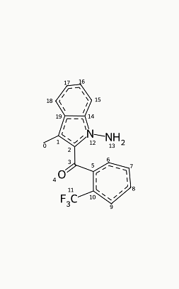 Cc1c(C(=O)c2ccccc2C(F)(F)F)n(N)c2ccccc12